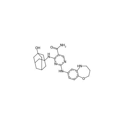 NC(=O)c1cnc(Nc2ccc3c(c2)NCCCO3)nc1NC12CC3CC(CC(O)(C3)C1)C2